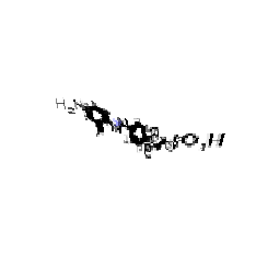 Cc1cc(N)ccc1/N=N/c1ccc(S(=O)(=O)CCOS(=O)(=O)O)cc1